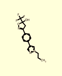 CCCn1cc(-c2ccc(C3=NOC(O)(C(F)(F)F)C3)cc2)cn1